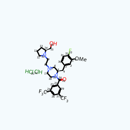 COc1cc(C[C@@H]2CN(CCN3CCC[C@H]3CO)CCN2C(=O)c2cc(C(F)(F)F)cc(C(F)(F)F)c2)ccc1F.Cl.Cl